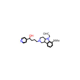 CNc1cccc2c1N(CC=O)C1CCN(CCCC(O)c3ccncc3)CC21